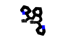 CC(C)(C)B(Cc1ccccc1CB(c1ccccn1)C(C)(C)C)c1ccccn1